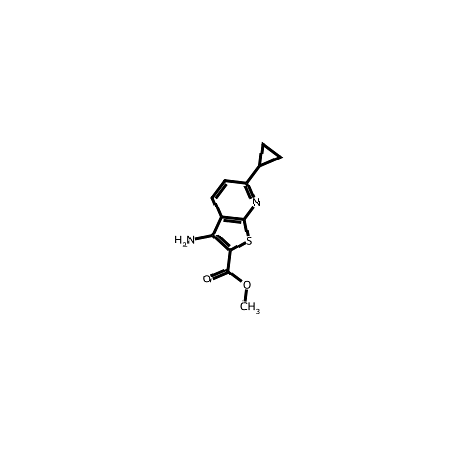 COC(=O)c1sc2nc(C3CC3)ccc2c1N